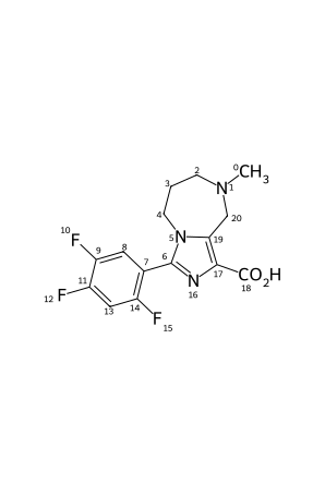 CN1CCCn2c(-c3cc(F)c(F)cc3F)nc(C(=O)O)c2C1